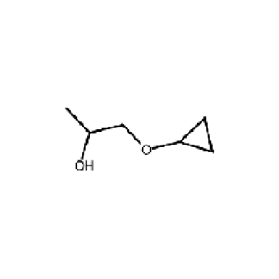 CC(O)COC1CC1